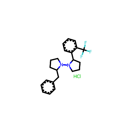 Cl.FC(F)(F)c1ccccc1C1CCCN1N1CCCC1Cc1ccccc1